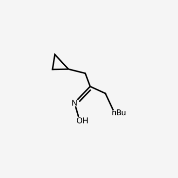 CCCCCC(CC1CC1)=NO